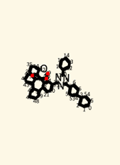 c1ccc(-c2ccc(-c3nc(-c4ccccc4)nc(-c4ccc5c(c4)C4(c6ccccc6Oc6ccccc64)c4ccccc4-c4ccccc4-5)n3)cc2)cc1